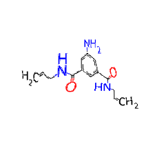 C=CCNC(=O)c1cc(N)cc(C(=O)NCC=C)c1